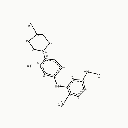 CC(C)Nc1ccc([N+](=O)[O-])c(Nc2ccc(N3CCC(N)CC3)c(F)c2)n1